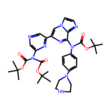 CC(C)(C)OC(=O)N(C(=O)OC(C)(C)C)c1cncc(-c2cn3ccnc3c(N(C(=O)OC(C)(C)C)c3ccc(N4CCNCC4)cc3)n2)n1